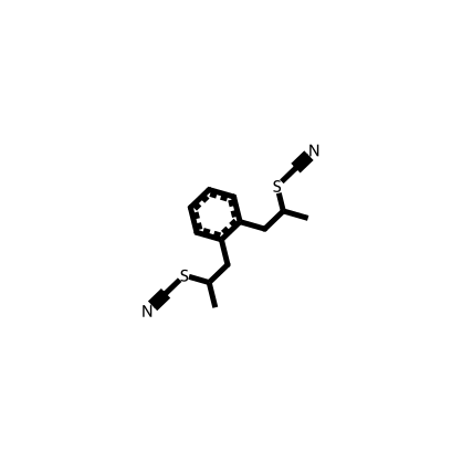 CC(Cc1ccccc1CC(C)SC#N)SC#N